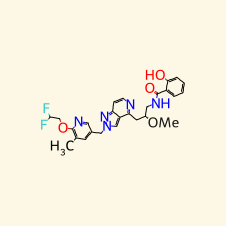 CO[C@H](CNC(=O)c1ccccc1O)Cc1nccc2nn(Cc3cnc(OCC(F)F)c(C)c3)cc12